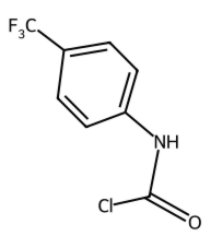 O=C(Cl)Nc1ccc(C(F)(F)F)cc1